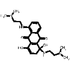 CN(C)CCNc1cccc2c1C(=O)C1=C(C2=O)C(O)(NCCN(C)C)CC=C1O